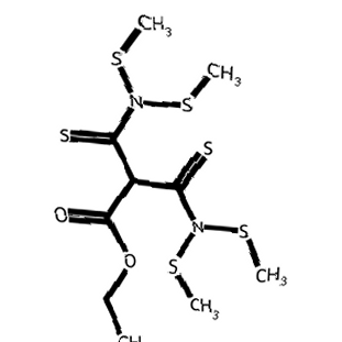 CCOC(=O)C(C(=S)N(SC)SC)C(=S)N(SC)SC